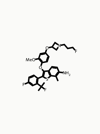 COc1cc(OC2CN(CCCF)C2)ccc1Oc1c(-c2ccc(F)cc2C(C)(C)F)sc2c(C)c(N)ccc12